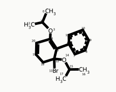 CC(C)OC1=C(c2ccccc2)C(Br)(OC(C)C)CC=C1